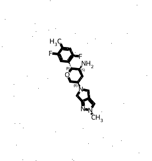 Cc1cc(F)c([C@H]2OC[C@H](N3Cc4cn(C)nc4C3)C[C@@H]2N)cc1F